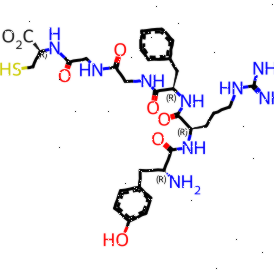 N=C(N)NCCC[C@@H](NC(=O)[C@H](N)Cc1ccc(O)cc1)C(=O)N[C@H](Cc1ccccc1)C(=O)NCC(=O)NCC(=O)N[C@@H](CS)C(=O)O